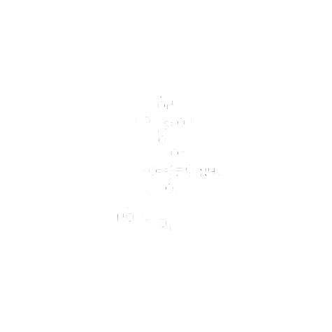 N.O=C(O)COS(=O)(=O)OOS(=O)(=O)O